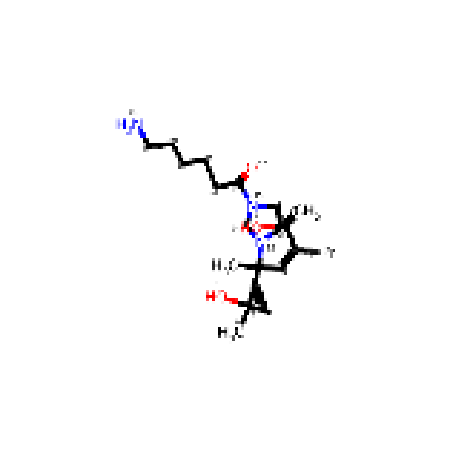 C=C(O)/C(=C\C(C)(C1=CC1(C)O)N1CCN(C(=O)CCCCCN)C1)C(C)C